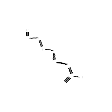 CS(#P)=PP=PP=PP=P